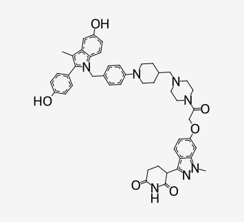 Cc1c(-c2ccc(O)cc2)n(Cc2ccc(N3CCC(CN4CCN(C(=O)COc5ccc6c(C7CCC(=O)NC7=O)nn(C)c6c5)CC4)CC3)cc2)c2ccc(O)cc12